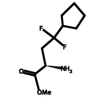 COC(=O)[C@@H](N)CC(F)(F)C1CCCC1